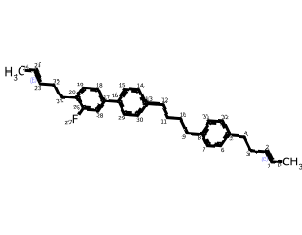 C/C=C/CCc1ccc(CCCCc2ccc(-c3ccc(CC/C=C/C)c(F)c3)cc2)cc1